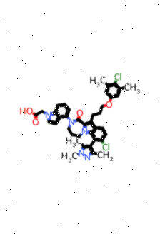 Cc1cc(OCCCc2c3n(c4c(-c5c(C)nn(C)c5C)c(Cl)ccc24)CCCN(c2cccc4c2ccn4CC(=O)O)C3=O)cc(C)c1Cl